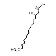 CCC1OC1CC(O)CCCCCC=CC=CC=CC=CC(=O)O